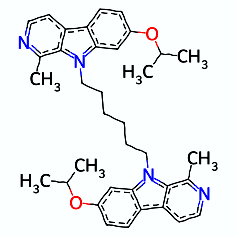 Cc1nccc2c3ccc(OC(C)C)cc3n(CCCCCCn3c4cc(OC(C)C)ccc4c4ccnc(C)c43)c12